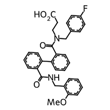 COc1ccccc1CNC(=O)c1ccccc1-c1ccccc1C(=O)N(CCC(=O)O)Cc1ccc(F)cc1